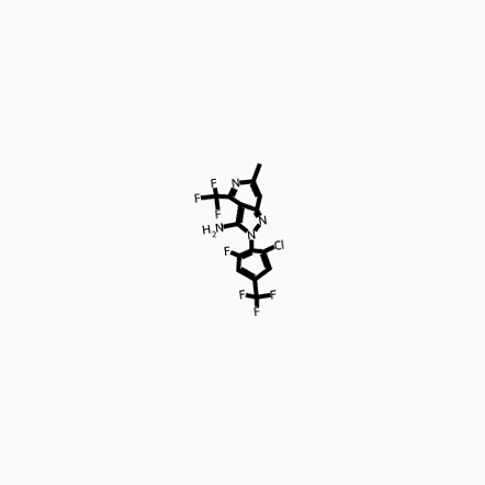 Cc1cc2nn(-c3c(F)cc(C(F)(F)F)cc3Cl)c(N)c2c(C(F)(F)F)n1